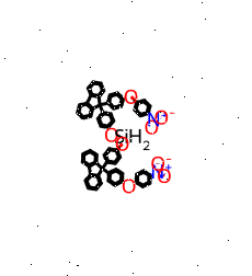 O=[N+]([O-])c1ccc(Oc2ccc(C3(c4ccc(O[SiH2]Oc5ccc(C6(c7ccc(Oc8ccc([N+](=O)[O-])cc8)cc7)c7ccccc7-c7ccccc76)cc5)cc4)c4ccccc4-c4ccccc43)cc2)cc1